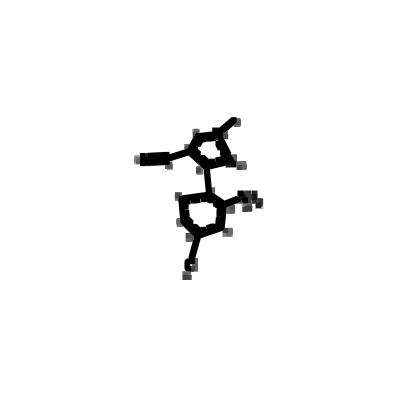 Cn1cc(C#N)c(-c2ccc(Cl)cc2N)n1